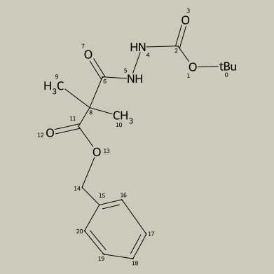 CC(C)(C)OC(=O)NNC(=O)C(C)(C)C(=O)OCc1ccccc1